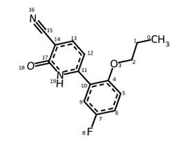 CCCOc1ccc(F)cc1-c1ccc(C#N)c(=O)[nH]1